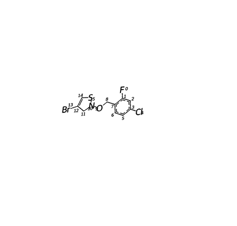 Fc1cc(Cl)ccc1CON1CC(Br)=CS1